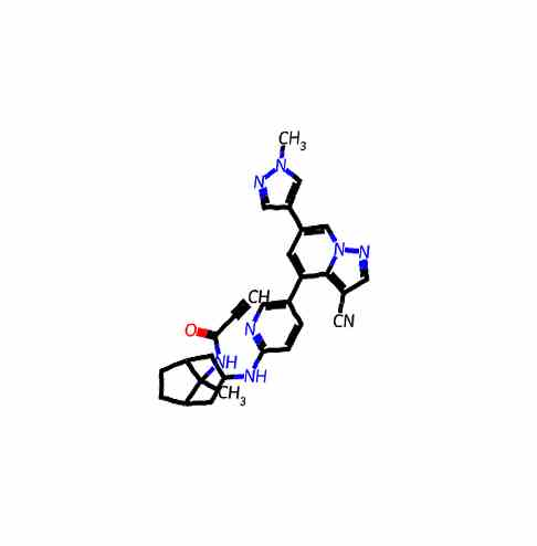 C#CC(=O)NC1(C)C2CCC1CC(Nc1ccc(-c3cc(-c4cnn(C)c4)cn4ncc(C#N)c34)cn1)C2